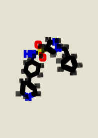 O=S(=O)(N[C@H]1CC[C@H](c2ccncc2)CC1)c1cnn(Cc2ccccc2)c1